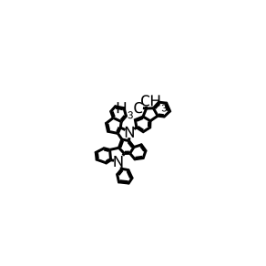 CC1(C)c2ccccc2-c2ccc(-n3c4c5ccccc5ccc4c4c5c6ccccc6n(-c6ccccc6)c5c5ccccc5c43)cc21